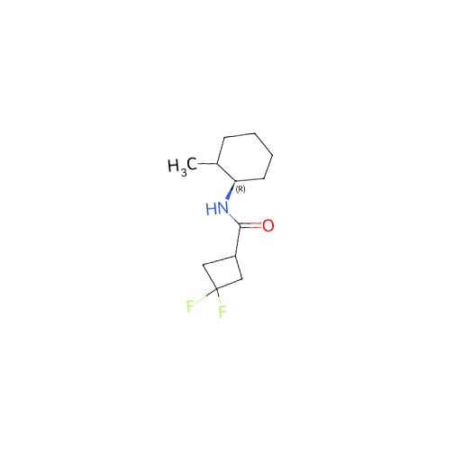 CC1CCCC[C@H]1NC(=O)C1CC(F)(F)C1